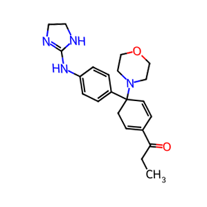 CCC(=O)C1=CCC(c2ccc(NC3=NCCN3)cc2)(N2CCOCC2)C=C1